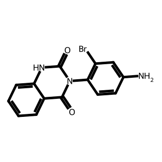 Nc1ccc(-n2c(=O)[nH]c3ccccc3c2=O)c(Br)c1